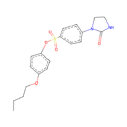 CCCCOc1ccc(OS(=O)(=O)c2ccc(N3CCNC3=O)cc2)cc1